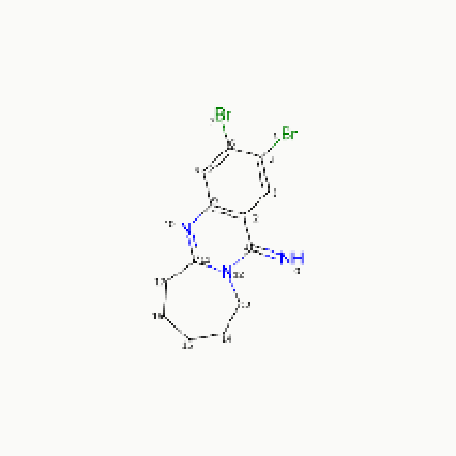 N=c1c2cc(Br)c(Br)cc2nc2n1CCCCC2